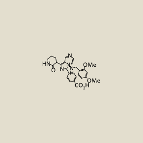 COc1ccc(CN[N+]23C=CN=CC2=C(C2CCCNC2=O)N=C3c2ccc(C(=O)O)cc2)c(OC)c1